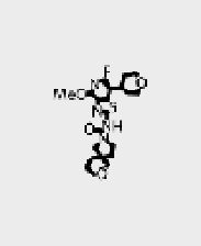 COC1=NC(F)=C(C2CCOCC2)C2SC(NC(=O)N3CCC4(CCCOC4)C3)=NC12